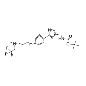 CN(CCCOc1ccc(-c2ncc(CNC(=O)OC(C)(C)C)s2)cc1)CC(F)(F)F